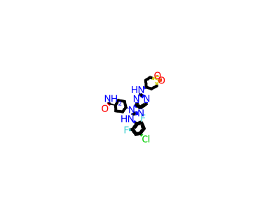 NC(=O)[C@H]1CC[C@H](n2c(Nc3c(F)cc(Cl)cc3F)nc3cnc(NC4CCS(=O)(=O)CC4)nc32)CC1